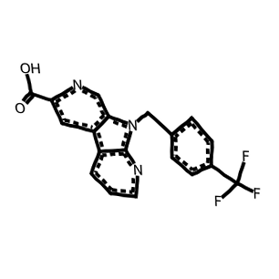 O=C(O)c1cc2c3cccnc3n(Cc3ccc(C(F)(F)F)cc3)c2cn1